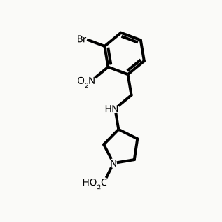 O=C(O)N1CCC(NCc2cccc(Br)c2[N+](=O)[O-])C1